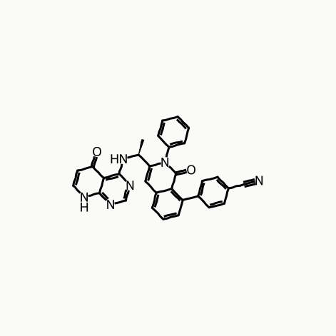 C[C@H](Nc1ncnc2[nH]ccc(=O)c12)c1cc2cccc(-c3ccc(C#N)cc3)c2c(=O)n1-c1ccccc1